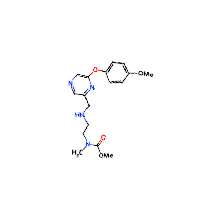 COC(=O)N(C)CCNCc1cncc(Oc2ccc(OC)cc2)n1